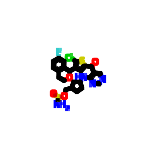 NS(=O)OCC1CCC(Nc2ncncc2C(=O)c2cc(C3OCCc4ccc(F)cc43)c(Cl)s2)C1